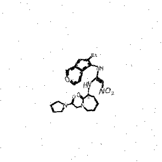 CCc1cc2coccc-2c1NC(=C[N+](=O)[O-])N[C@H]1CCCCN(CC(=O)N2CCCC2)C1=O